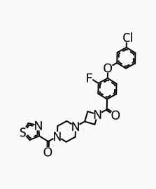 O=C(c1ccc(Oc2cccc(Cl)c2)c(F)c1)N1CC(N2CCN(C(=O)c3cscn3)CC2)C1